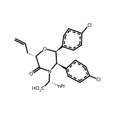 C=CC[C@@H]1O[C@@H](c2ccc(Cl)cc2)[C@@H](c2ccc(Cl)cc2)N([C@H](CCC)C(=O)O)C1=O